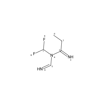 CCC(=N)N(C=N)C(F)F